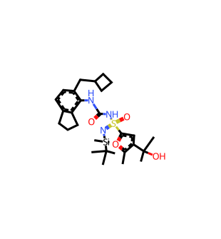 Cc1oc(S(=O)(=N[Si](C)(C)C(C)(C)C)NC(=O)Nc2c(CC3CCC3)ccc3c2CCC3)cc1C(C)(C)O